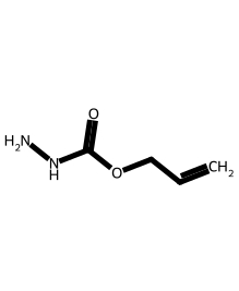 C=CCOC(=O)NN